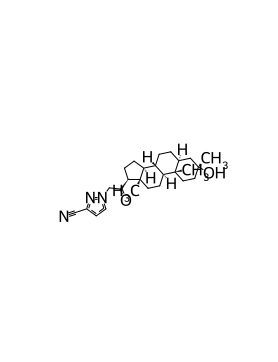 C[C@@]1(O)CC[C@@]2(C)[C@@H](CC[C@@H]3[C@@H]2CC[C@]2(C)[C@@H](C(=O)Cn4ccc(C#N)n4)CC[C@@H]32)C1